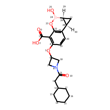 O=C(O)c1c(OC2CN(C(=O)CC3CCCCC3)C2)ccc2c1OB(O)[C@H]1C[C@@H]21